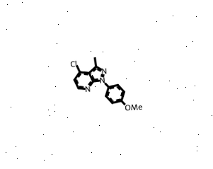 COc1ccc(-n2nc(C)c3c(Cl)ccnc32)cc1